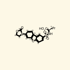 CC(C)[C@@H](NS(=O)(=O)c1ccc2oc3cc(N4CCOC4=O)ccc3c2c1)C(=O)O